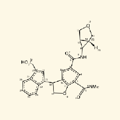 CNC(=O)c1cc(C(=O)NC2C3COC[C@@H]32)cc2c1OCC2c1cn(C(=O)O)c2ccccc12